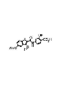 COc1ccc2sc(C(=O)Nc3ccc(C(=O)O)c(O)c3)c(OC(C)C)c2c1